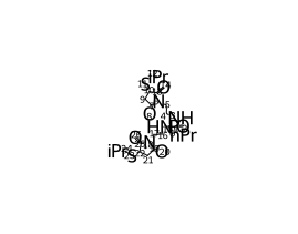 CCCP(=O)(NCCN1C(=O)CC(SC(C)C)C1=O)NCCN1C(=O)CC(SC(C)C)C1=O